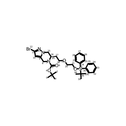 CC(C)(C)OC(=O)N1Cc2cc(Br)nn2C[C@H]1CCOCCO[Si](c1ccccc1)(c1ccccc1)C(C)(C)C